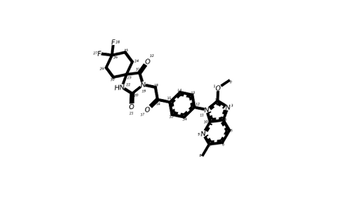 COc1nc2ccc(C)nc2n1-c1ccc(C(=O)CN2C(=O)NC3(CCC(F)(F)CC3)C2=O)cc1